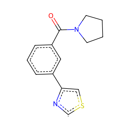 O=C(c1cccc(-c2cs[c]n2)c1)N1CCCC1